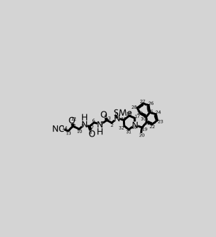 CSN(CC(=O)NCC(=O)NCC(=O)CC#N)C1CCN(C(C)c2cccc3ccccc23)CC1